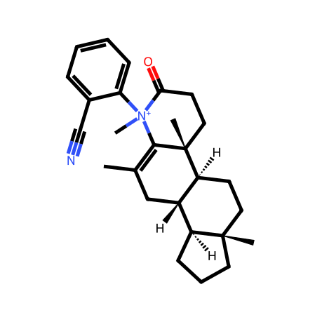 CC1=C2[C@](C)(CCC(=O)[N+]2(C)c2ccccc2C#N)[C@H]2CC[C@]3(C)CCC[C@H]3[C@@H]2C1